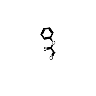 O=[C]C(=S)Oc1ccccc1